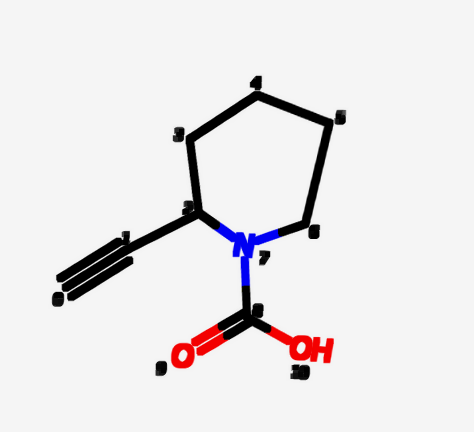 C#CC1CCCCN1C(=O)O